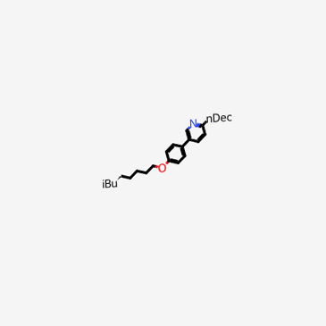 CCCCCCCCCCc1ccc(-c2ccc(OCCCCC[C@@H](C)CC)cc2)cn1